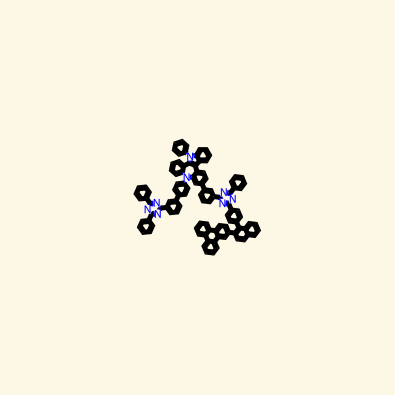 c1ccc(-c2nc(-c3ccccc3)nc(-c3cccc(-c4ccc(N5c6cc(-c7cccc(-c8nc(-c9ccccc9)nc(-c9ccc(-c%10c(-c%11ccc%12c%13ccccc%13c%13ccccc%13c%12c%11)ccc%11ccccc%10%11)cc9)n8)c7)ccc6-c6c(n(-c7ccccc7)c7ccccc67)-c6ccccc65)cc4)c3)n2)cc1